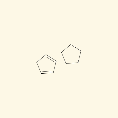 C1=CCC=C1.C1CCCC1